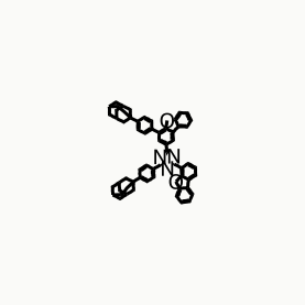 c1ccc2c(c1)oc1c(-c3ccc(C45CC6CC(CC(C6)C4)C5)cc3)cc(-c3nc(-c4ccc(C56CC7CC(CC(C7)C5)C6)cc4)nc(-c4cccc5c4oc4ccccc45)n3)cc12